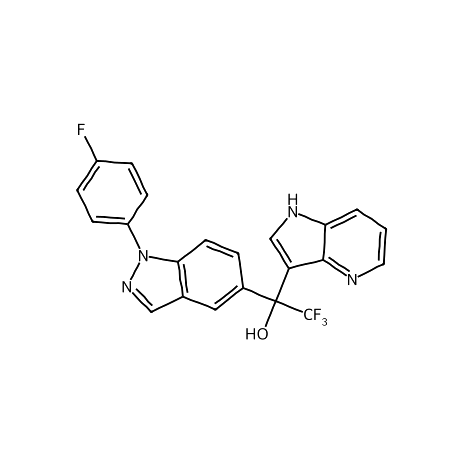 OC(c1ccc2c(cnn2-c2ccc(F)cc2)c1)(c1c[nH]c2cccnc12)C(F)(F)F